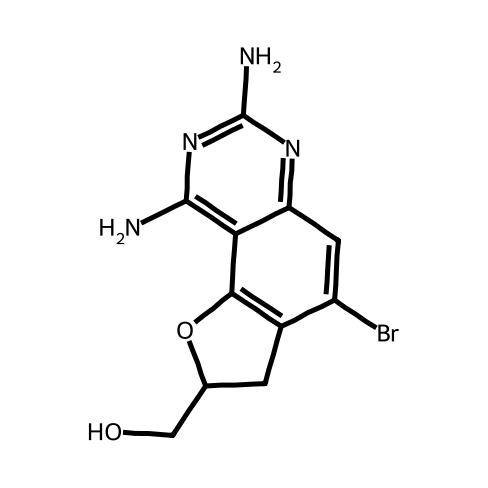 Nc1nc(N)c2c3c(c(Br)cc2n1)CC(CO)O3